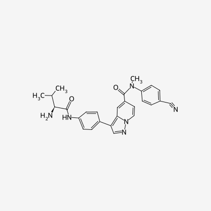 CC(C)[C@H](N)C(=O)Nc1ccc(-c2cnn3ccc(C(=O)N(C)c4ccc(C#N)cc4)cc23)cc1